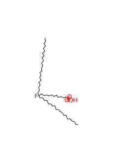 CCCCCCCCCCCCCCCCCCCCCCCC(F)(CCCCCCCCCCCCCCCCCCCC)CCCCCCCCCCCS(=O)(=O)O